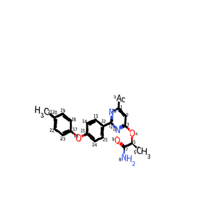 CC(=O)c1cc(O[C@@H](C)C(N)=O)nc(-c2ccc(Oc3ccc(C)cc3)cc2)n1